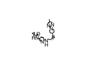 Cc1cnc(N2CCC([C@H]3C[C@H]3CCNc3ccc(NC(=O)C4(C)CC4)cn3)CC2)nc1